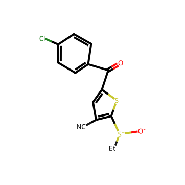 CC[S+]([O-])c1sc(C(=O)c2ccc(Cl)cc2)cc1C#N